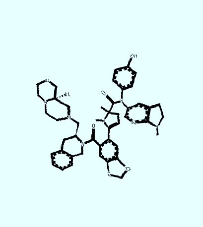 CN1CCc2cc(N(C(=O)C3(C)CC=C(c4cc5c(cc4C(=O)N4Cc6ccccc6C[C@H]4CN4CCN6CCOC[C@H]6C4)OCO5)N3C)c3ccc(O)cc3)cnc21